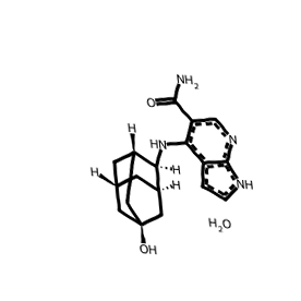 NC(=O)c1cnc2[nH]ccc2c1N[C@H]1[C@@H]2C[C@H]3C[C@H]1C[C@@](O)(C3)C2.O